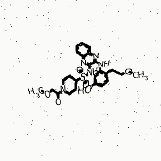 COCCc1ccc(O)cc1Nc1nc2ccccc2nc1NS(=O)(=O)C1CCN(C(=O)COC)CC1